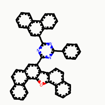 c1ccc(-c2nc(-c3cc4ccccc4c4ccccc34)nc(-c3cc4ccc5ccccc5c4c4oc5c6ccccc6ccc5c34)n2)cc1